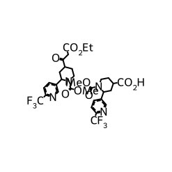 CCOC(=O)CC(=O)C1CCN(C(=O)OC)C(c2ccc(C(F)(F)F)nc2)C1.COC(=O)N1CCC(C(=O)O)CC1c1ccc(C(F)(F)F)nc1